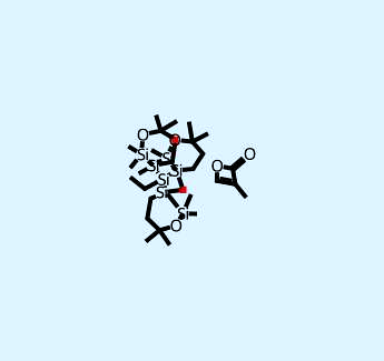 CC1=COC1=O.CC[Si]([Si]1(C)CCC(C)(C)O[Si]1(C)C)([Si]1(C)CCC(C)(C)O[Si]1(C)C)[Si]1(C)CCC(C)(C)O[Si]1(C)C